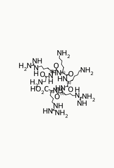 N=C(N)NCCC[C@H](NC(=O)[C@H](CCCNC(=N)N)NC(=O)[C@H](CCCCN)NC(=O)[C@H](CCCCN)NC(=O)[C@H](CCCNC(=N)N)NC(=O)CN)C(=O)O